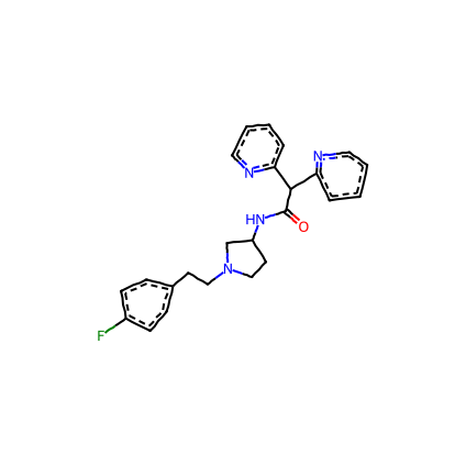 O=C(NC1CCN(CCc2ccc(F)cc2)C1)C(c1ccccn1)c1ccccn1